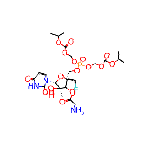 CC(C)OC(=O)OCOP(=O)(OCOC(=O)OC(C)C)OC[C@@]1(CF)O[C@@H](N2C=CC(=O)NC2O)[C@](C)(O)[C@@H]1OC(=O)CN